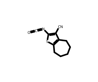 N#Cc1c(N=C=O)sc2c1CCCCC2